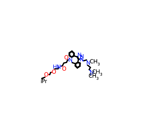 CC(C)CCOCCOCCNC(=O)CCC(=O)N1Cc2ccccc2-c2c(nnn2CCN(C)CCCN(C)C)-c2ccccc21